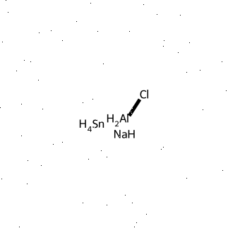 [AlH2][Cl].[NaH].[SnH4]